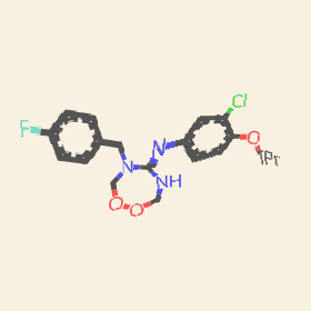 CC(C)Oc1ccc(/N=C2\NCOOCN2Cc2ccc(F)cc2)cc1Cl